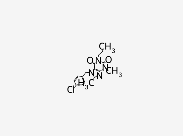 CCCn1c(=O)c2c(nc(C)n2Cc2ccc(Cl)cc2)n(C)c1=O